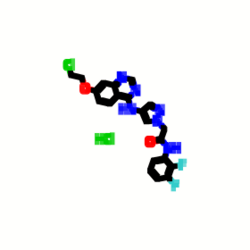 Cl.O=C(Cn1cc(Nc2ncnc3cc(OCCCl)ccc23)cn1)Nc1cccc(F)c1F